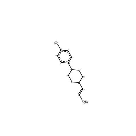 N#Cc1ccc(C2CCC(C=CC=O)CC2)cc1